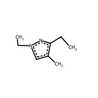 CCc1nn(CC)cc1C